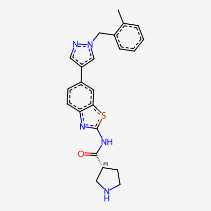 Cc1ccccc1Cn1cc(-c2ccc3nc(NC(=O)[C@@H]4CCNC4)sc3c2)cn1